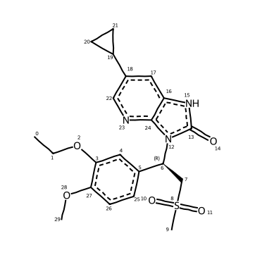 CCOc1cc([C@H](CS(C)(=O)=O)n2c(=O)[nH]c3cc(C4CC4)cnc32)ccc1OC